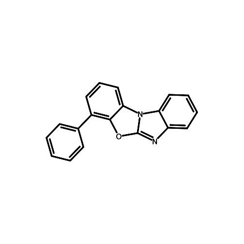 c1ccc(-c2cccc3c2oc2nc4ccccc4n23)cc1